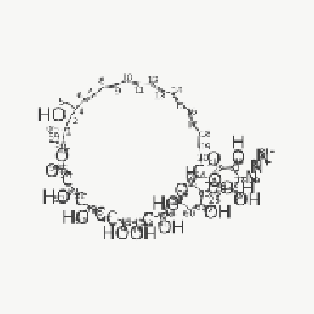 C[C@@H]1[C@H](O)[C@@H](C)/C=C/C=C/C=C/C=C/C=C/C=C/C=C/[C@H](O[C@@H]2O[C@H](C)[C@@H](O)[C@H](N=[N+]=[N-])[C@H]2O)C[C@@H]2O[C@](O)(C[C@@H](O)C[C@@H](O)C(O)CC[C@@H](O)C[C@@H](O)CC(=O)O[C@H]1C)C[C@H](O)[C@H]2C(=O)O